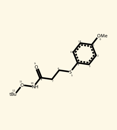 COc1ccc(SCCC(=O)NOC(C)(C)C)cc1